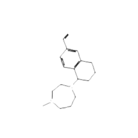 CN1CCCN(C2CCCc3cc(C=O)ccc32)CC1